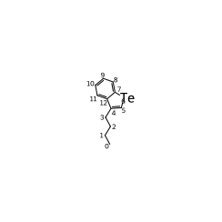 CCCCc1c[te]c2ccccc12